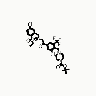 CCS(=O)(=O)c1ccc(Cl)cc1CNCC(=O)c1cc(Cl)c(CN2CCN(C(=O)OC(C)(C)C)CC2)c(C(F)(F)F)c1